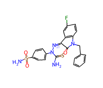 NC(=S)N(/N=C1\C(=O)N(Cc2ccccc2)c2ccc(F)cc21)c1ccc(S(N)(=O)=O)cc1